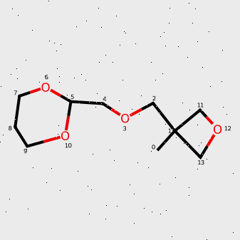 CC1(COCC2OCCCO2)COC1